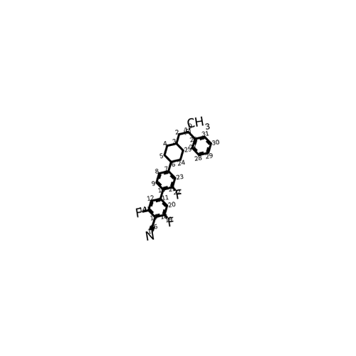 C[C@@H](CC1CCC(c2ccc(-c3cc(F)c(C#N)c(F)c3)c(F)c2)CC1)c1ccccc1